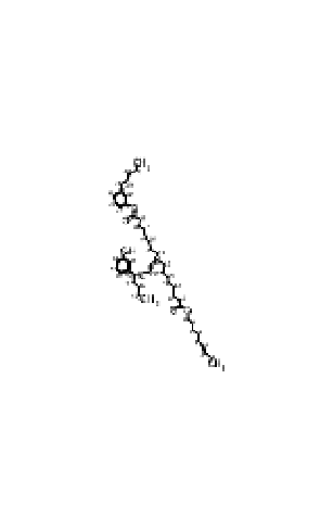 CCCCCCCCCOC(=O)CCCCCCCN(CCO)CCCCCCCC(=O)Oc1cccc(CCCCC)c1.CCCCCc1cccc(O)c1